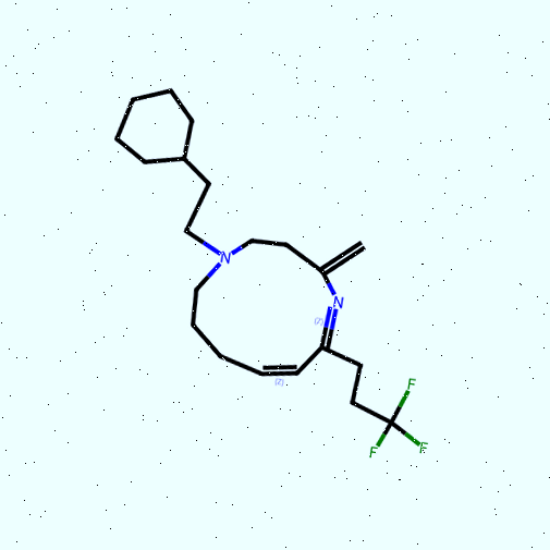 C=C1CCN(CCC2CCCCC2)CCC/C=C\C(CCC(F)(F)F)=N/1